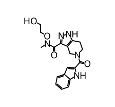 CN(OCCO)C(=O)c1n[nH]c2c1CN(C(=O)c1cc3ccccc3[nH]1)CC2